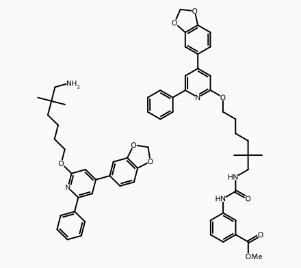 CC(C)(CN)CCCCOc1cc(-c2ccc3c(c2)OCO3)cc(-c2ccccc2)n1.COC(=O)c1cccc(NC(=O)NCC(C)(C)CCCCOc2cc(-c3ccc4c(c3)OCO4)cc(-c3ccccc3)n2)c1